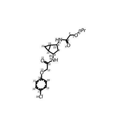 CCCOCC(=O)N[C@H]1C[C@@H](NC(=O)COc2ccc(Cl)cc2)C2CC21